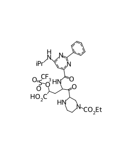 CCOC(=O)N1CCNC(C(=O)C(CC(OS(=O)(=O)C(F)(F)F)C(=O)O)NC(=O)c2cc(NC(C)C)nc(-c3ccccc3)n2)C1